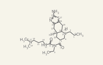 CCCN1C[C@H](C(=O)N(CC)C(=O)NCCCN(C)C)C[C@@H]2Cc3nc(N)sc3C[C@H]21